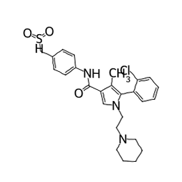 Cc1c(C(=O)Nc2ccc(C[SH](=O)=O)cc2)cn(CCN2CCCCC2)c1-c1ccccc1Cl